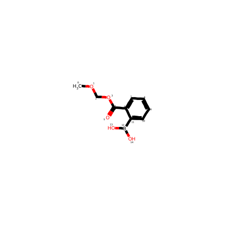 COCOC(=O)c1ccccc1B(O)O